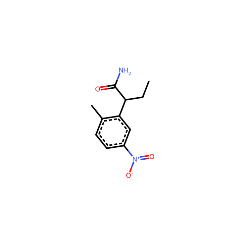 CCC(C(N)=O)c1cc([N+](=O)[O-])ccc1C